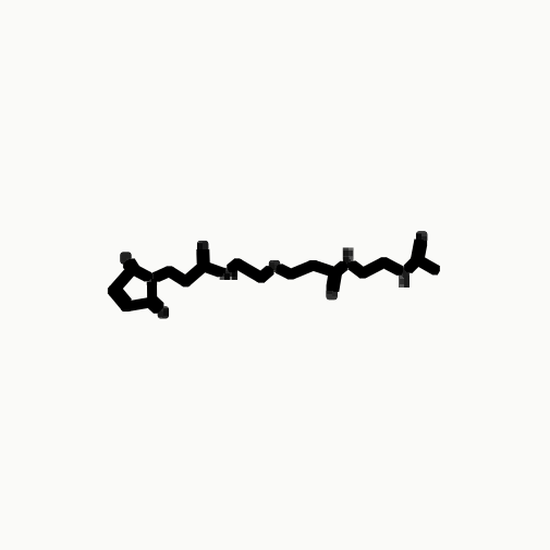 CC(=O)NCCNC(=O)CCOCCNC(=O)CCN1C(=O)C=CC1=O